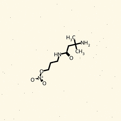 CC(C)(N)CC(=O)NCCCO[N+](=O)[O-]